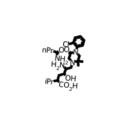 CC(C)C(CC(O)C(N)CN1CC(=O)N(c2ccccc2Cl)CC1(C)C)C(=O)O.CCCC(N)=O